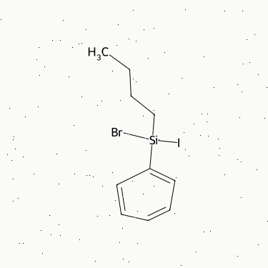 CCCC[Si](Br)(I)c1ccccc1